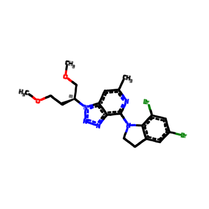 COCC[C@@H](COC)n1nnc2c(N3CCc4cc(Br)cc(Br)c43)nc(C)cc21